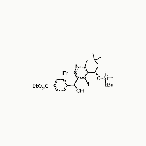 CCOC(=O)c1ccc(C(O)c2c(C(C)C)nc3c(c2I)[C@H](O[Si](C)(C)C(C)(C)C)CC(C)(C)C3)cc1